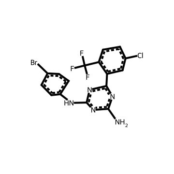 Nc1nc(Nc2ccc(Br)cc2)nc(-c2cc(Cl)ccc2C(F)(F)F)n1